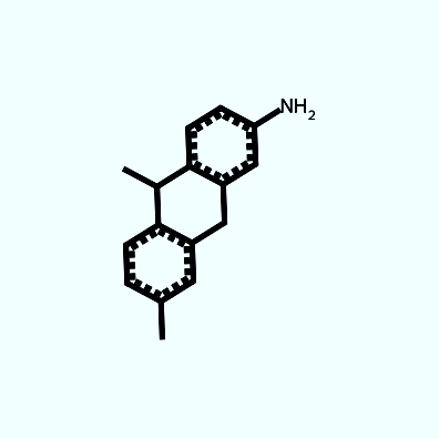 Cc1ccc2c(c1)Cc1cc(N)ccc1C2C